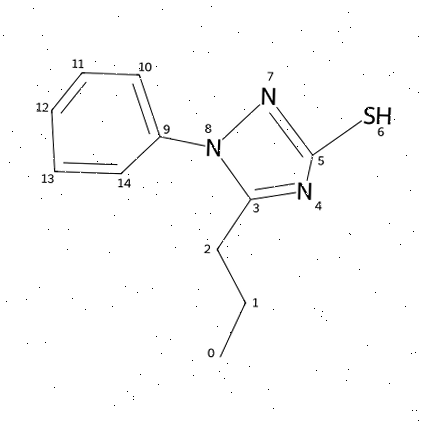 CCCc1nc(S)nn1-c1ccccc1